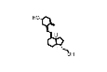 C=C1CC[C@@H](O)C/C1=C/C=C1\CCC[C@]2(C)[C@@H](CCO)CC[C@@H]12